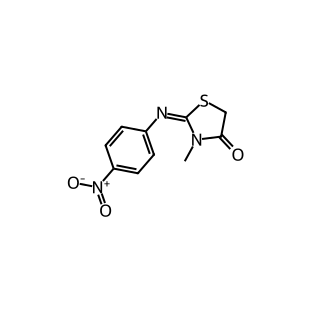 CN1C(=O)CSC1=Nc1ccc([N+](=O)[O-])cc1